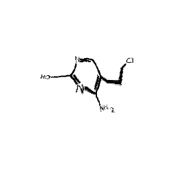 Nc1nc(O)ncc1CCl